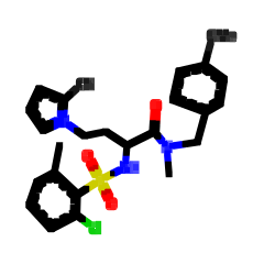 COc1ccc(CN(C)C(=O)C(CCn2cccc2C#N)NS(=O)(=O)c2c(C)cccc2Cl)cc1